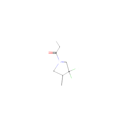 CC(C)CC(=O)N1CC(C)C(Cl)(Cl)C1